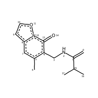 C=C(NCc1c(C)cc2ccon2c1=O)C(C)C